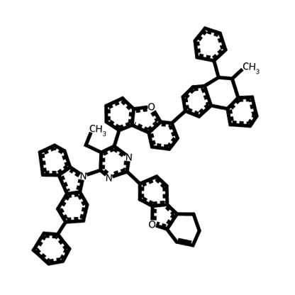 CCc1c(-c2cccc3oc4c(-c5ccc6c(c5)-c5ccccc5C(C)C6c5ccccc5)cccc4c23)nc(-c2ccc3c4c(oc3c2)C=CCC4)nc1-n1c2ccccc2c2cc(-c3ccccc3)ccc21